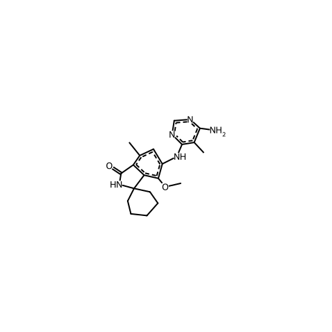 COc1c(Nc2ncnc(N)c2C)cc(C)c2c1C1(CCCCC1)NC2=O